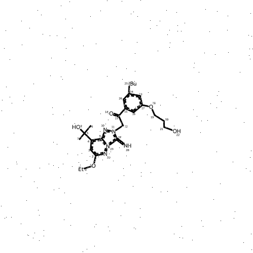 CCOc1cc(C(C)(C)O)c2nn(CC(=O)c3cc(OCCCO)cc(C(C)(C)C)c3)c(=N)n2n1